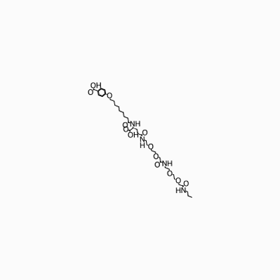 CCCNC(=O)COCCOCCNC(=O)COCCOCCNC(=O)CC[C@H](NC(=O)CCCCCCCCOc1ccc(C(=O)O)cc1)C(=O)O